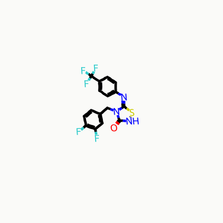 O=c1[nH]s/c(=N/c2ccc(C(F)(F)F)cc2)n1Cc1ccc(F)c(F)c1